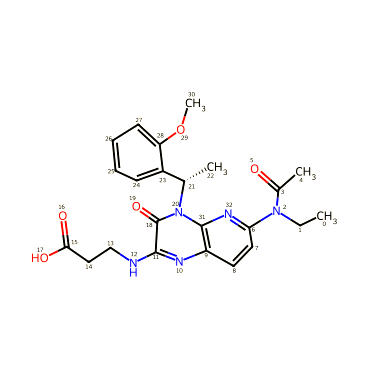 CCN(C(C)=O)c1ccc2nc(NCCC(=O)O)c(=O)n([C@@H](C)c3ccccc3OC)c2n1